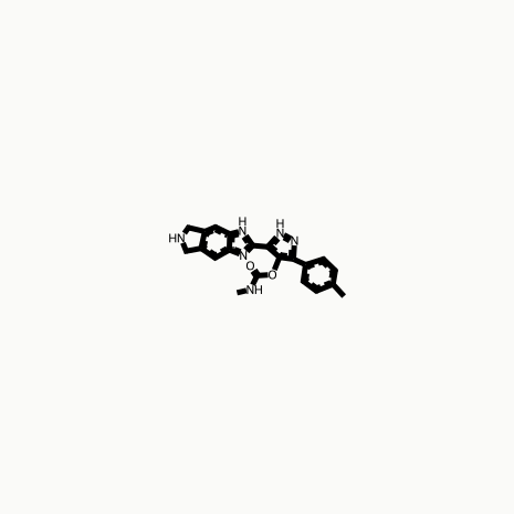 CNC(=O)Oc1c(-c2ccc(C)cc2)n[nH]c1-c1nc2cc3c(cc2[nH]1)CNC3